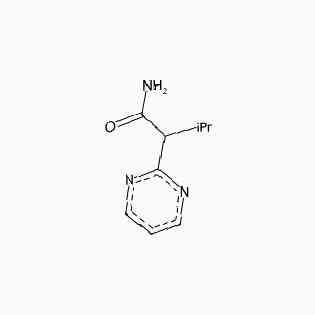 CC(C)C(C(N)=O)c1ncccn1